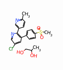 CC(O)CO.Cc1ccc(-c2ncc(Cl)cc2-c2ccc(S(C)(=O)=O)cc2)cn1